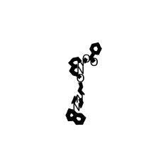 O=C(OCN1CCCc2ccc(OCCCCN3CCN(c4cccc5ccccc45)CC3)nc21)C1CCCCC1